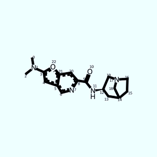 CN(C)c1cc2cnc(C(=O)N[C@@H]3CC4CCN(C4)C3)cc2o1